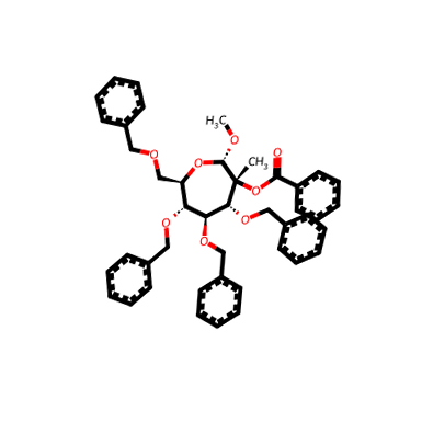 CO[C@H]1O[C@H](COCc2ccccc2)[C@@H](OCc2ccccc2)[C@H](OCc2ccccc2)[C@@H](OCc2ccccc2)[C@@]1(C)OC(=O)c1ccccc1